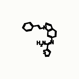 NC(=Nc1ccc2ccn(C=Cc3ccccc3)c2c1)c1cccs1